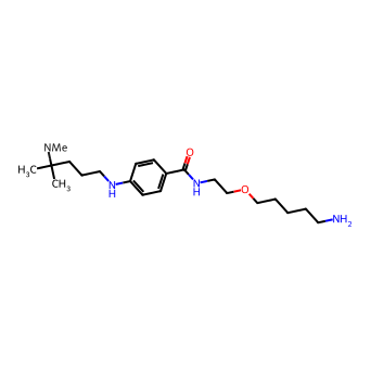 CNC(C)(C)CCCNc1ccc(C(=O)NCCOCCCCCN)cc1